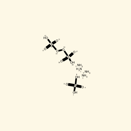 N.N.N.N.O=S(=O)(O)O.O=S(=O)(O)OOS(=O)(=O)O